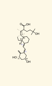 C=C1/C(=C\C=C2/CCC[C@]3(C)[C@@H]([C@H](C)C(CCC(C)(C)O)C(=O)O)CC[C@@H]23)C[C@@H](O)C[C@@H]1O